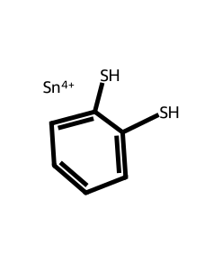 Sc1ccccc1S.[Sn+4]